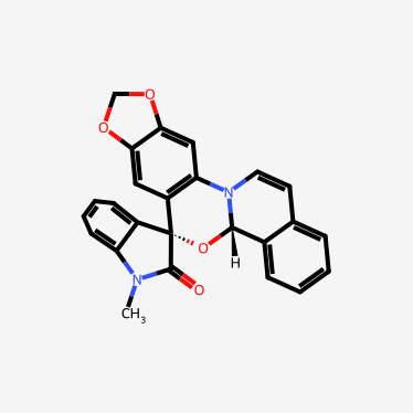 CN1C(=O)[C@@]2(O[C@H]3c4ccccc4C=CN3c3cc4c(cc32)OCO4)c2ccccc21